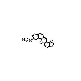 COc1ccc2c(c1)C1Oc3ccc4c(c3C=C1C=C2)OCC4